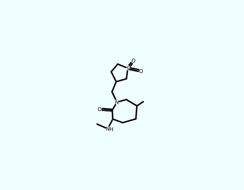 CNC1CCC(C)CN(CC2CCS(=O)(=O)C2)C1=O